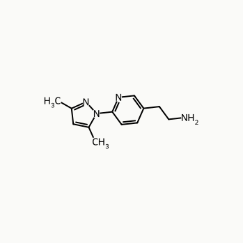 Cc1cc(C)n(-c2ccc(CCN)cn2)n1